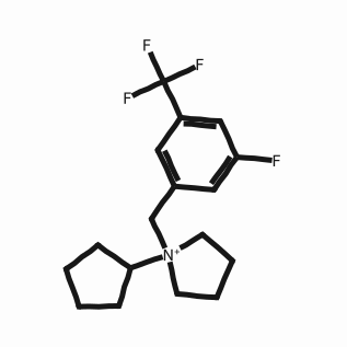 Fc1cc(C[N+]2(C3CCCC3)CCCC2)cc(C(F)(F)F)c1